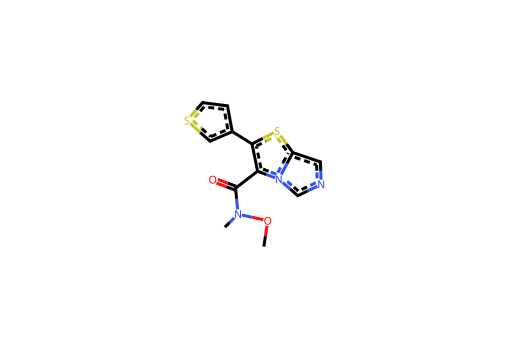 CON(C)C(=O)c1c(-c2ccsc2)sc2cncn12